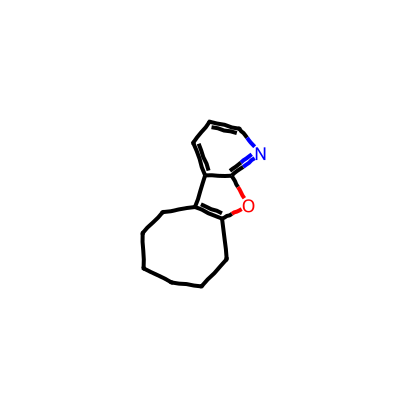 c1cnc2oc3c(c2c1)CCCCCC3